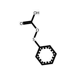 O=C(O)OSc1[c]cccc1